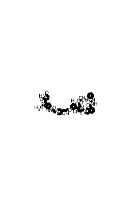 Cc1c(OCCCC2(O)CCN(CC(=O)Nc3ccc4c(C5CCC(=O)NC5=O)nn(C)c4c3)CC2)cccc1-c1ccc(N2CCc3cccc(C(=O)Nc4nc5ccccc5s4)c3C2)nc1C(=O)OC(C)(C)C